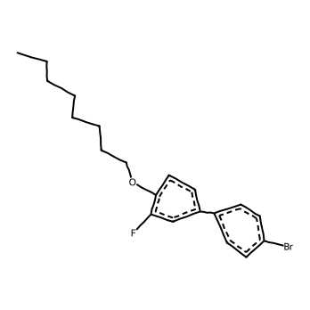 CCCCCCCCOc1ccc(-c2ccc(Br)cc2)cc1F